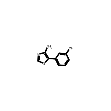 Nc1ncsc1-c1cccc(O)c1